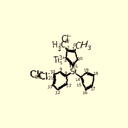 CC1=C(C)[C]([Ti+3])=C([SiH](c2ccccc2)c2ccccc2)C1.[Cl-].[Cl-].[Cl-]